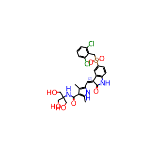 Cc1[nH]c(/C=C2\C(=O)Nc3ccc(S(=O)(=O)Cc4c(Cl)cccc4Cl)cc32)c(C)c1C(=O)NC(CO)(CO)CO